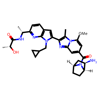 COc1cc(C(=O)N2[C@H]3CC[C@@H]2[C@H](N)C3)cc2nc(-c3cc4ccc([C@@H](C)NC(=O)[C@@H](C)O)nc4n3CC3CC3)c(C)n12